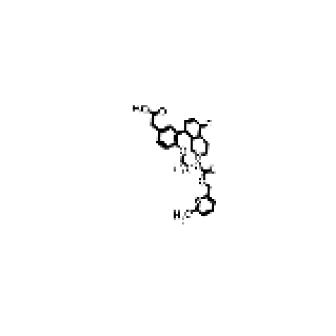 CCOc1ccc(CC(=O)O)cc1-c1ccc(F)c2c1CN(OC(=O)OCc1cccc(C)n1)CC2